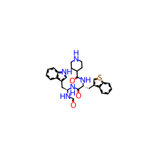 O=CN[C@@H](Cc1c[nH]c2ccccc12)NC(=O)[C@@H](Cc1csc2ccccc12)NC(=O)C1CCNCC1